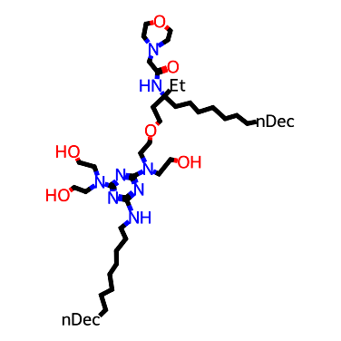 CCCCCCCCCCCCCCCCCCNc1nc(N(CCO)CCO)nc(N(CCO)CCOCCC(CC)(CCCCCCCCCCCCCCCCC)NC(=O)CN2CCOCC2)n1